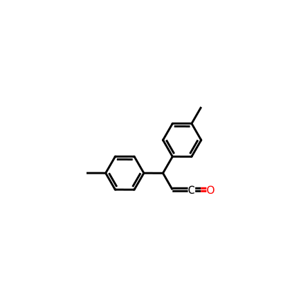 Cc1ccc(C(C=C=O)c2ccc(C)cc2)cc1